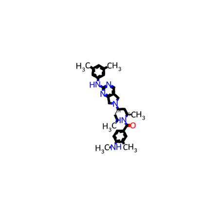 CCC[C@@H](C[C@@H](C)NC(=O)c1ccc(NC)c(C)c1)N1Cc2cnc(Nc3cc(C)cc(C)c3)nc2C1